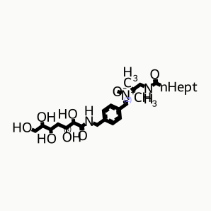 CCCCCCCC(=O)NCC(C)(C)/[N+]([O-])=C/c1ccc(CNC(=O)C(O)[C@H](O)CC(O)C(O)CO)cc1